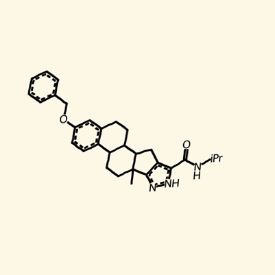 CC(C)NC(=O)c1[nH]nc2c1CC1C3CCc4cc(OCc5ccccc5)ccc4C3CCC21C